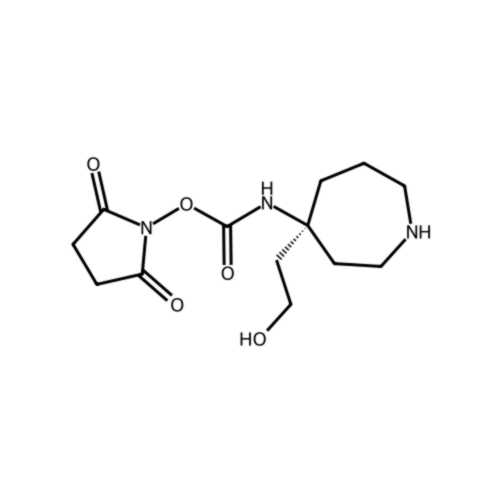 O=C(N[C@@]1(CCO)CCCNCC1)ON1C(=O)CCC1=O